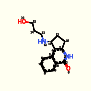 O=c1[nH]c2c(c3ccccc13)[C@H](NCCCO)CC2